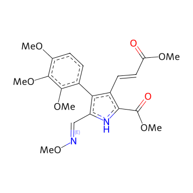 CO/N=C/c1[nH]c(C(=O)OC)c(C=CC(=O)OC)c1-c1ccc(OC)c(OC)c1OC